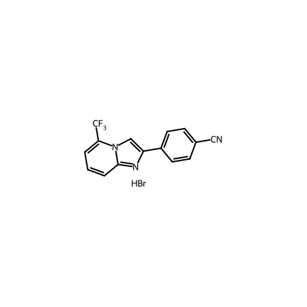 Br.N#Cc1ccc(-c2cn3c(C(F)(F)F)cccc3n2)cc1